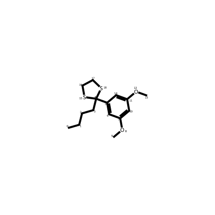 CCCCC1(c2cc(OC)cc(OC)c2)SCCS1